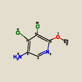 CCOc1ncc(N)c(Cl)c1Cl